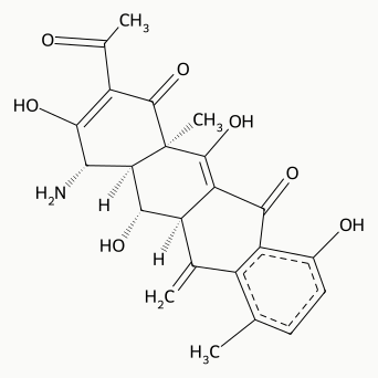 C=C1c2c(C)ccc(O)c2C(=O)C2=C(O)[C@]3(C)C(=O)C(C(C)=O)=C(O)[C@@H](N)[C@@H]3[C@@H](O)[C@H]12